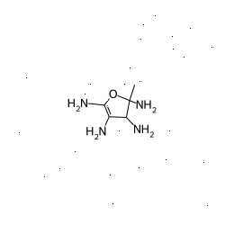 CC1(N)OC(N)=C(N)C1N